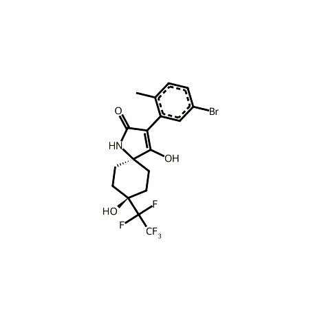 Cc1ccc(Br)cc1C1=C(O)[C@]2(CC[C@@](O)(C(F)(F)C(F)(F)F)CC2)NC1=O